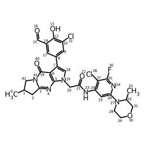 CC1Cc2nc3c(c(-c4cc(Cl)c(O)c(C=O)c4)cn3CC(=O)Nc3cc(N4CCOCC4C)nc(F)c3Cl)c(=O)n2C1